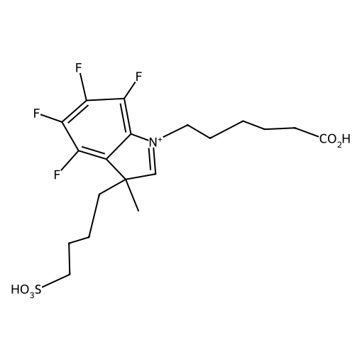 CC1(CCCCS(=O)(=O)O)C=[N+](CCCCCC(=O)O)c2c(F)c(F)c(F)c(F)c21